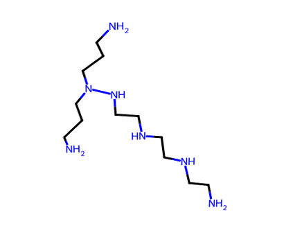 NCCCN(CCCN)NCCNCCNCCN